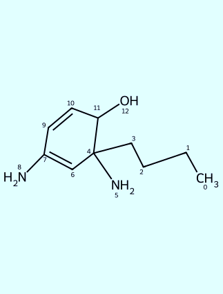 CCCCC1(N)C=C(N)C=CC1O